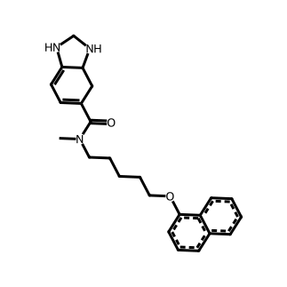 CN(CCCCCOc1cccc2ccccc12)C(=O)C1=CC=C2NCNC2C1